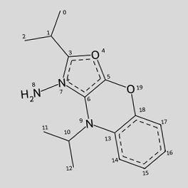 CC(C)c1oc2c([n+]1N)N(C(C)C)c1ccccc1O2